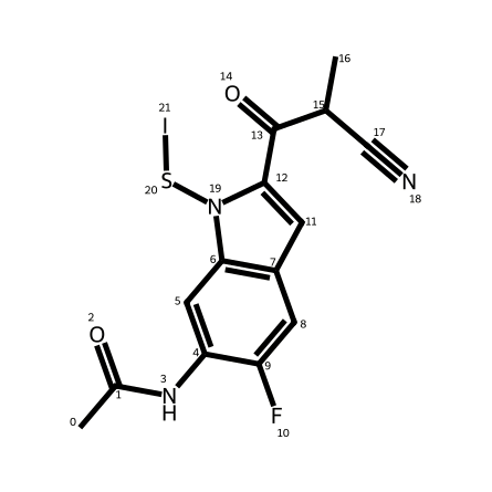 CC(=O)Nc1cc2c(cc1F)cc(C(=O)C(C)C#N)n2SI